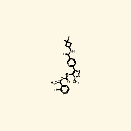 C[C@@H](OC(=O)Nc1c(-c2ccc(C(=O)NC3CC(F)(F)C3)cn2)nnn1C)c1cccnc1Cl